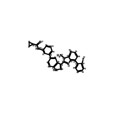 Nn1c(-c2n[nH]c3ncc(-c4cncc(NC(=O)C5CC5)c4)cc23)nc2c(-c3ccccc3F)ccnc21